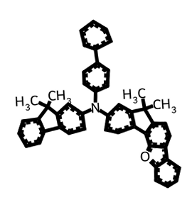 CC1(C)c2ccccc2-c2ccc(N(c3ccc(-c4ccccc4)cc3)c3ccc4c(c3)C(C)(C)c3ccc5c(oc6ccccc65)c3-4)cc21